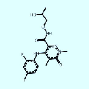 Cc1c(Nc2ccc(I)cc2F)c(C(=O)NOCC(C)O)nn(C)c1=O